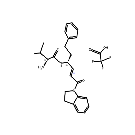 CC(C)[C@H](N)C(=O)N[C@H](/C=C/C(=O)N1CCc2ccccc21)CCc1ccccc1.O=C(O)C(F)(F)F